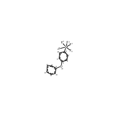 FS(F)(F)(F)(F)c1ccc(Oc2ccccc2)cc1